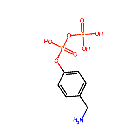 NCc1ccc(OP(=O)(O)OP(=O)(O)O)cc1